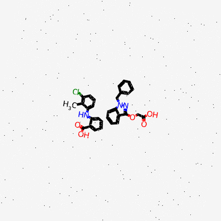 Cc1c(Cl)cccc1Nc1ccccc1C(=O)O.O=C(O)COc1nn(Cc2ccccc2)c2ccccc12